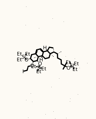 CC[Si](CC)(CC)O[C@@H]1CC2=CC=C3[C@@H]4CC[C@H]([C@H](C)CCCC(C)(C)O[Si](CC)(CC)CC)[C@@]4(C)CC[C@@H]3[C@@]2(C)[C@@H](O[Si](CC)(CC)CC)[C@@H]1OCCI